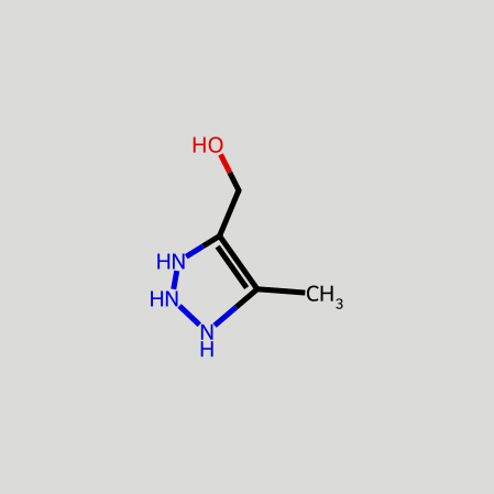 CC1=C(CO)NNN1